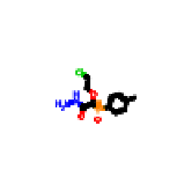 Cc1ccc([PH](=O)C(OCCCl)C(=O)NN)cc1